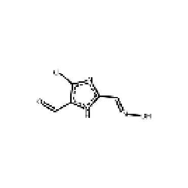 O=Cc1[nH]c(C=NO)nc1Cl